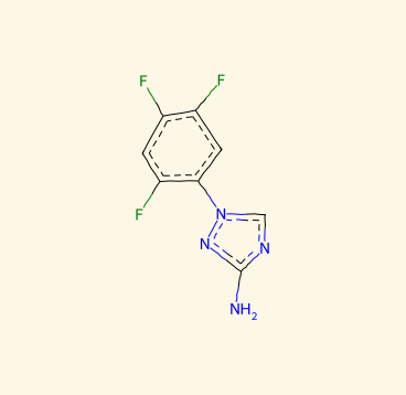 Nc1ncn(-c2cc(F)c(F)cc2F)n1